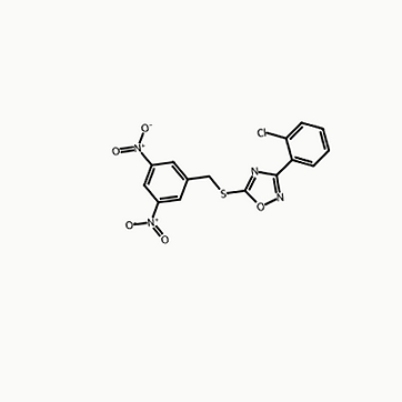 O=[N+]([O-])c1cc(CSc2nc(-c3ccccc3Cl)no2)cc([N+](=O)[O-])c1